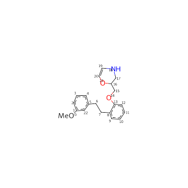 COc1cccc(CCc2ccccc2OCC2CNC=CO2)c1